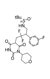 CC(C)(C)[S@+]([O-])NCC(c1cccc(F)c1)C(F)(F)CC1C(=O)NC(=O)N(C2CCOCC2)C1=O